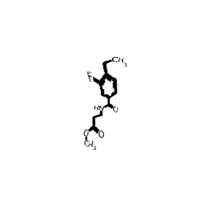 CCc1ccc(C(=O)NCCC(=O)OC)cc1F